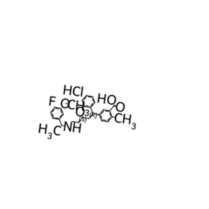 COc1cc(C(C)NCC[C@@H]2C[C@H](c3ccc(C)c(C(=O)O)c3)c3ccccc3O2)ccc1F.Cl